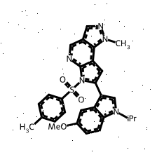 COc1ccc2c(c1)c(-c1cc3c4c(cnc3n1S(=O)(=O)c1ccc(C)cc1)cnn4C)cn2C(C)C